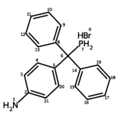 Br.Nc1ccc(C(P)(c2ccccc2)c2ccccc2)cc1